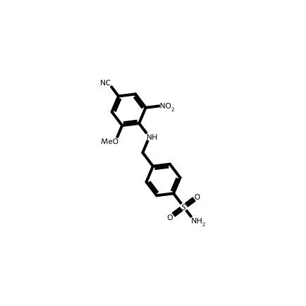 COc1cc(C#N)cc([N+](=O)[O-])c1NCc1ccc(S(N)(=O)=O)cc1